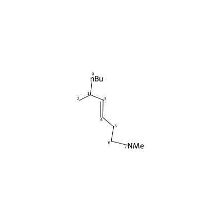 CCCCC(C)/C=C/CCNC